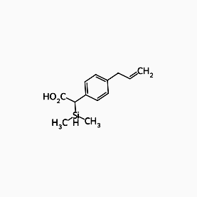 C=CCc1ccc(C(C(=O)O)[SiH](C)C)cc1